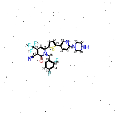 N#Cc1c(C(F)(F)F)cc(-c2ccc(-c3ccc(N4CCNCC4)nc3)s2)n(Cc2ccc(F)cc2F)c1=O